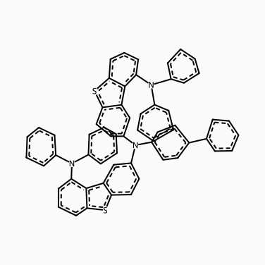 c1ccc(-c2ccc(N(c3ccc4sc5cccc(N(c6ccccc6)c6ccccc6)c5c4c3)c3ccc4sc5cccc(N(c6ccccc6)c6ccccc6)c5c4c3)cc2)cc1